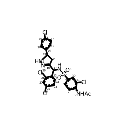 CC(=O)Nc1ccc(S(=O)(=O)NC(C2=NNC(c3ccc(Cl)cc3)C2)c2ccc(Cl)cc2Cl)cc1Cl